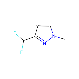 Cn1c[c]c(C(F)F)n1